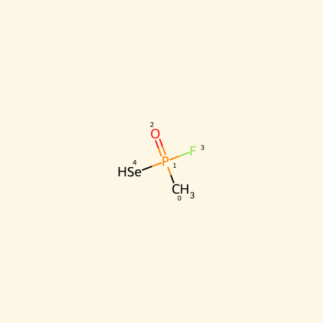 CP(=O)(F)[SeH]